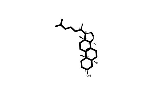 CC(C)CCC[C@@H](C)[C@H]1CO[C@@]2(C)C3=C(CC[C@]12C)[C@@]1(C)CC[C@H](O)C[C@@H]1CC3